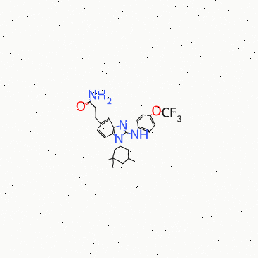 CC1CC(n2c(Nc3ccc(OC(F)(F)F)cc3)nc3cc(CCC(N)=O)ccc32)CC(C)(C)C1